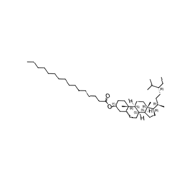 CCCCCCCCCCCCCCCC(=O)O[C@H]1CC[C@@]2(C)C(=CC[C@H]3[C@@H]4CC[C@H]([C@H](C)CC[C@@H](CC)C(C)C)[C@@]4(C)CC[C@@H]32)C1